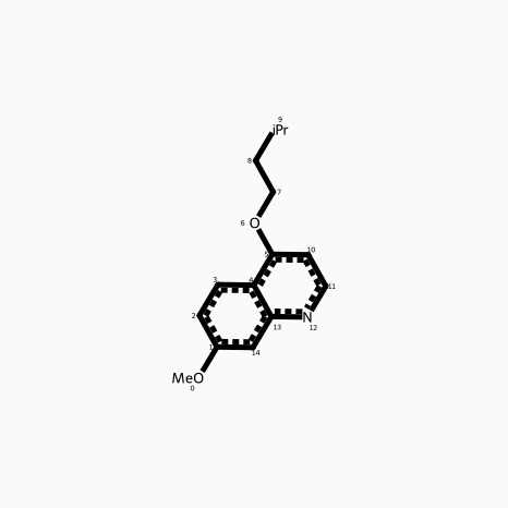 COc1ccc2c(OCCC(C)C)ccnc2c1